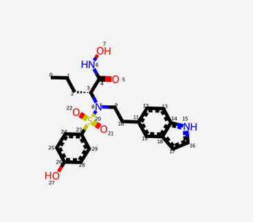 CCC[C@H](C(=O)NO)N(CCc1ccc2[nH]ccc2c1)S(=O)(=O)c1ccc(O)cc1